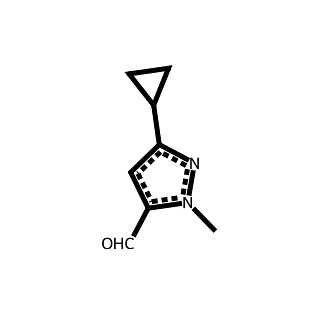 Cn1nc(C2CC2)cc1C=O